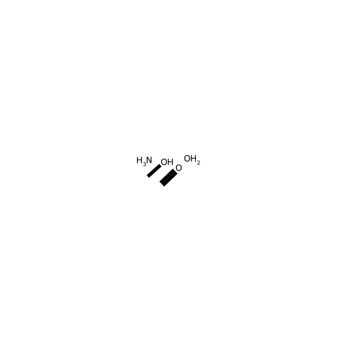 C=O.CO.N.O